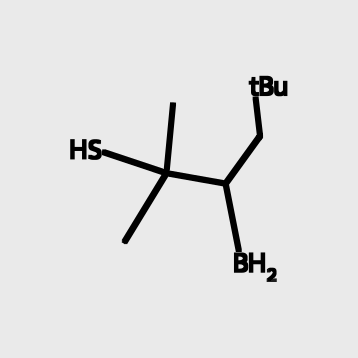 BC(CC(C)(C)C)C(C)(C)S